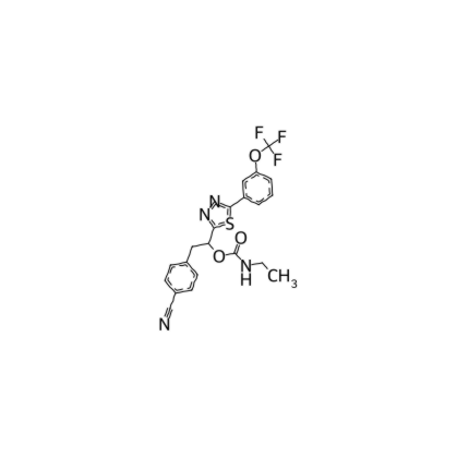 CCNC(=O)OC(Cc1ccc(C#N)cc1)c1nnc(-c2cccc(OC(F)(F)F)c2)s1